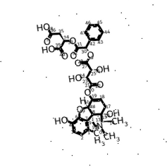 Cc1ccc(O)c2c1[C@]13CCN(C)[C@H](C)[C@]1(O)CC=C(OC(=O)[C@H](O)[C@@H](O)C(=O)O[C@H](C(=O)O[C@H](CC(=O)O)C(=O)O)c1ccccc1)[C@@H]3O2